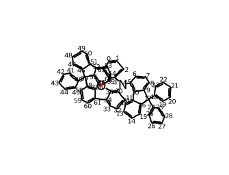 c1ccc(N(c2cccc3c2-c2ccccc2C3(c2ccccc2)c2ccccc2)c2cccc3c2oc2c(C4(c5ccccc5)c5ccccc5-c5ccccc54)cccc23)cc1